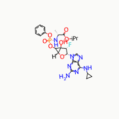 CC(C)OC(=O)[C@@H](C)N[P@](=O)(Oc1ccccc1)OC1[C@H]2O[C@@H](n3cnc4c(NC5CC5)nc(N)nc43)[C@@H](F)[C@@]12O